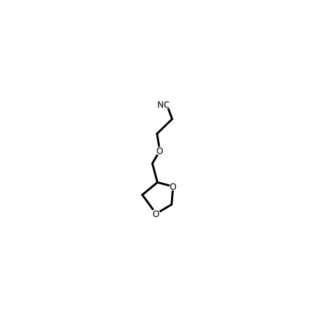 N#CCCOCC1COCO1